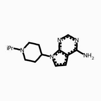 CC(C)N1CCC(n2ccc3c(N)ncnc32)CC1